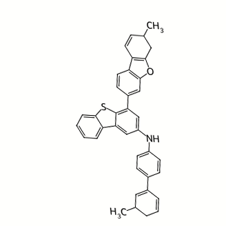 CC1C=C(c2ccc(Nc3cc(-c4ccc5c6c(oc5c4)CC(C)C=C6)c4sc5ccccc5c4c3)cc2)C=CC1